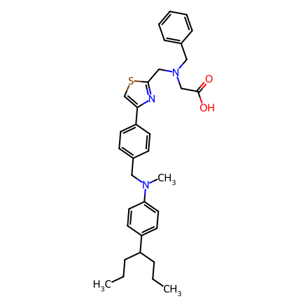 CCCC(CCC)c1ccc(N(C)Cc2ccc(-c3csc(CN(CC(=O)O)Cc4ccccc4)n3)cc2)cc1